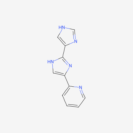 c1ccc(-c2c[nH]c(-c3c[nH]cn3)n2)nc1